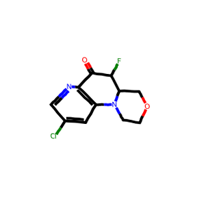 O=C1c2ncc(Cl)cc2N2CCOCC2C1F